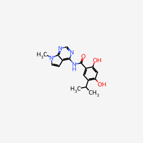 CC(C)c1cc(C(=O)Nc2ncnc3c2ccn3C)c(O)cc1O